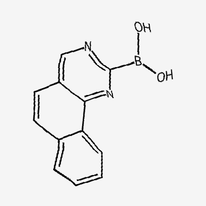 OB(O)c1ncc2ccc3ccccc3c2n1